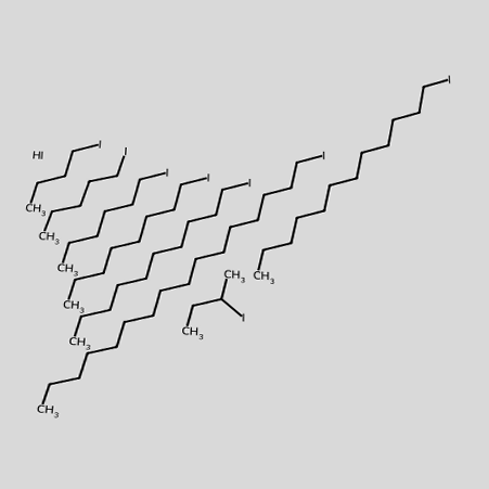 CCC(C)I.CCCCCCCCCCCCCCCCI.CCCCCCCCCCCCI.CCCCCCCCCCI.CCCCCCCCI.CCCCCCI.CCCCCI.CCCCI.I